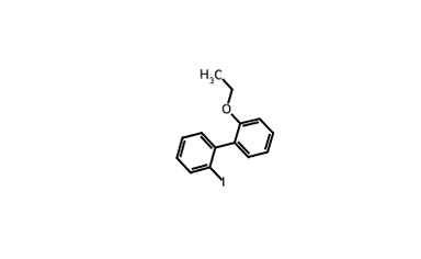 CCOc1ccccc1-c1ccccc1I